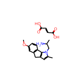 COc1ccc2c(c1)Cc1cc(C)n(CC(C)N)c1-2.O=C(O)/C=C/C(=O)O